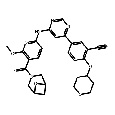 COc1nc(Nc2cc(-c3ccc(OC4CCOCC4)c(C#N)c3)ncn2)ccc1C(=O)N1CC2CC(C1)O2